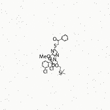 COc1nc(SCC(=O)c2ccccc2)cnc1N(COCC[Si](C)(C)C)S(=O)(=O)c1cccc(Cl)c1Cl